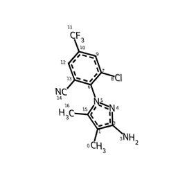 Cc1c(N)nn(-c2c(Cl)cc(C(F)(F)F)cc2C#N)c1C